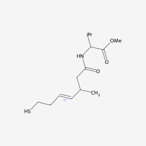 COC(=O)C(NC(=O)CC(C)/C=C/CCS)C(C)C